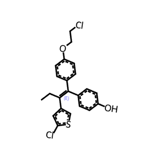 CC/C(=C(/c1ccc(O)cc1)c1ccc(OCCCl)cc1)c1csc(Cl)c1